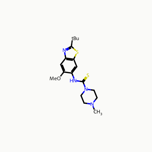 COc1cc2nc(C(C)(C)C)sc2cc1NC(=S)N1CCN(C)CC1